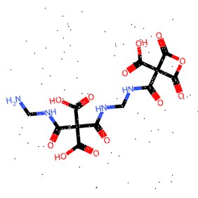 NCNC(=O)C(C(=O)O)(C(=O)O)C(=O)NCNC(=O)C1(C(=O)O)C(=O)OC1=O